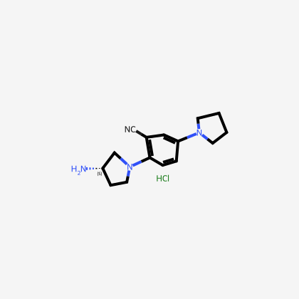 Cl.N#Cc1cc(N2CCCC2)ccc1N1CC[C@H](N)C1